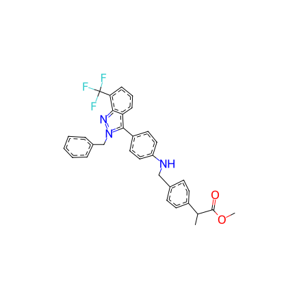 COC(=O)C(C)c1ccc(CNc2ccc(-c3c4cccc(C(F)(F)F)c4nn3Cc3ccccc3)cc2)cc1